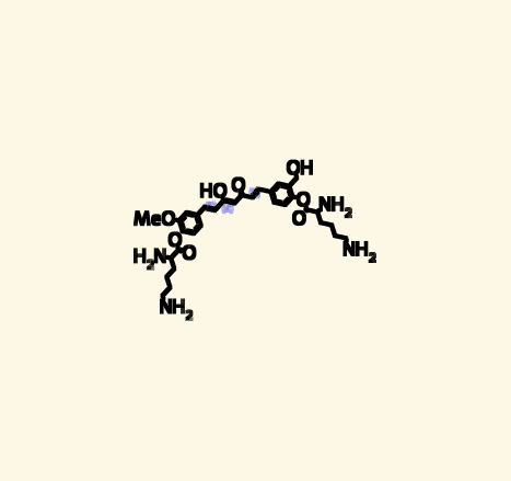 COc1cc(/C=C/C(O)=C/C(=O)/C=C/c2ccc(OC(=O)C(N)CCCCN)c(CO)c2)ccc1OC(=O)C(N)CCCCN